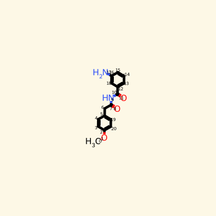 COc1ccc(CC(=O)NC(=O)c2c[c]cc(N)c2)cc1